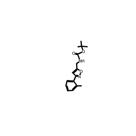 Cc1ccccc1-c1cc(CNC(=O)OC(C)(C)C)on1